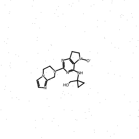 [O-][S+]1CCc2nc(N3CCn4ccnc4C3)nc(NC3(CO)CC3)c21